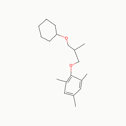 Cc1cc(C)c(OCC(C)COC2CCCCC2)c(C)c1